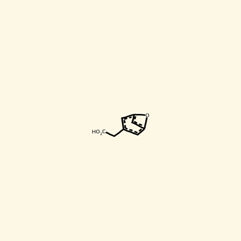 O=C(O)Cc1cc2cc(c1)O2